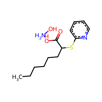 CCCCCCC(Sc1ccccn1)C(=O)O.NO